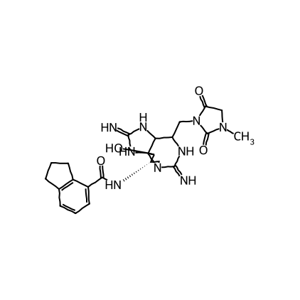 CN1CC(=O)N(CC2NC(=N)N3C[C@H](NC(=O)c4cccc5c4CCC5)C(O)[C@]34NC(=N)NC24)C1=O